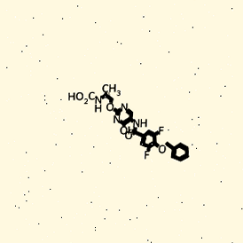 C[C@@H](COc1ncc(NC(=O)c2cc(F)c(OCc3ccccc3)c(F)c2)c(O)n1)NC(=O)O